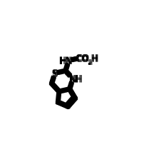 O=C(O)NC1NC2C=CCC2CS1